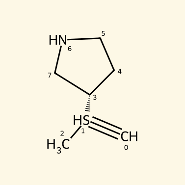 C#[SH](C)[C@H]1CCNC1